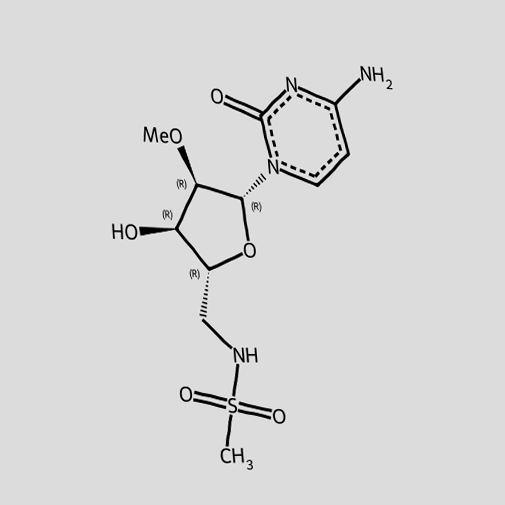 CO[C@@H]1[C@H](O)[C@@H](CNS(C)(=O)=O)O[C@H]1n1ccc(N)nc1=O